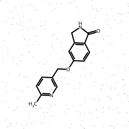 Cc1ccc(COc2ccc3c(c2)CNC3=O)cn1